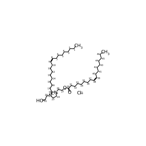 CCCCCCCC/C=C\CCCCCCCCC1=[N+](CCO)CCN1CCOC(=O)CCCCCCC/C=C\CCCCCCCC.[Cl-]